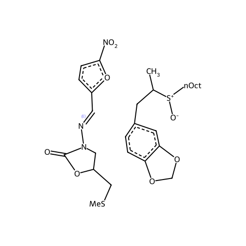 CCCCCCCC[S+]([O-])C(C)Cc1ccc2c(c1)OCO2.CSCC1CN(/N=C/c2ccc([N+](=O)[O-])o2)C(=O)O1